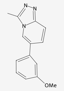 COc1cccc(-c2ccc3nnc(C)n3c2)c1